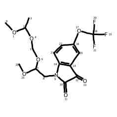 COC(C)OCOC(CN1C(=O)C(=O)c2cc(OC(F)(F)F)ccc21)OC